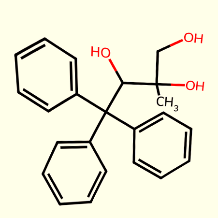 CC(O)(CO)C(O)C(c1ccccc1)(c1ccccc1)c1ccccc1